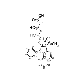 CC(C)c1c(CCC(O)CC(O)CC(=O)O)c(-c2ccccc2)c2c3ccccc3ccn12